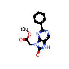 CC(C)(C)OC(=O)Cn1c(=O)[nH]c2cnc(-c3ccccc3)nc21